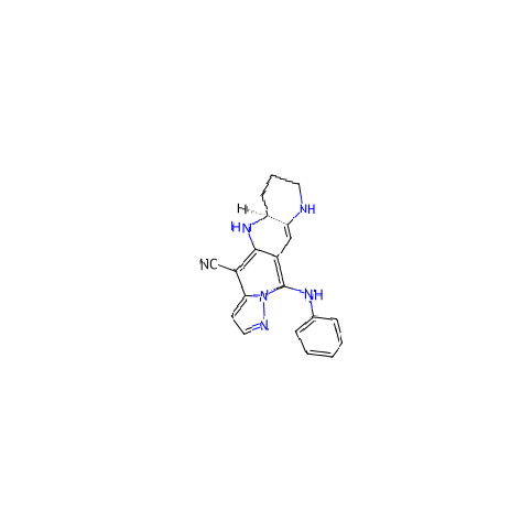 N#Cc1c2c(c(Nc3ccccc3)n3nccc13)C=C1NCCC[C@@H]1N2